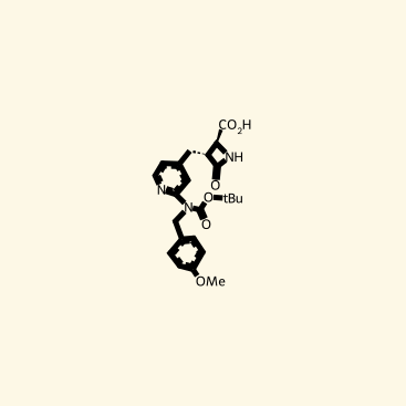 COc1ccc(CN(C(=O)OC(C)(C)C)c2cc(C[C@H]3C(=O)N[C@@H]3C(=O)O)ccn2)cc1